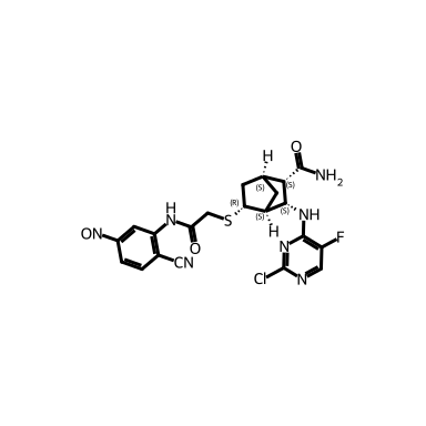 N#Cc1ccc(N=O)cc1NC(=O)CS[C@@H]1C[C@@H]2C[C@H]1[C@@H](Nc1nc(Cl)ncc1F)[C@H]2C(N)=O